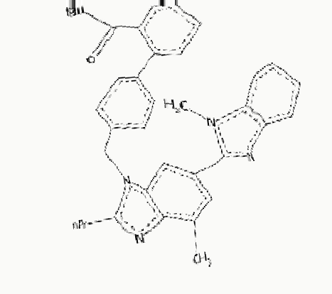 CCCc1nc2c(C)cc(-c3nc4ccccc4n3C)cc2n1Cc1ccc(-c2ccccc2C(=O)C(C)(C)C)cc1